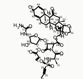 C=CC(=O)O[C@H]1C(O[C@@H]2C(=O)N(C(=O)[C@@H](C)NS(=O)(=O)C#CC)C2C(=O)OCC(=O)[C@@]23OCO[C@@H]2C[C@H]2[C@@H]4CCC5=CC(=O)C=C[C@]5(C)[C@H]4C(=O)C[C@@]23C)O[C@@H](NC(N)=O)[C@H]1O